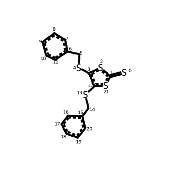 S=c1sc(SCc2ccccc2)c(SCc2ccccc2)s1